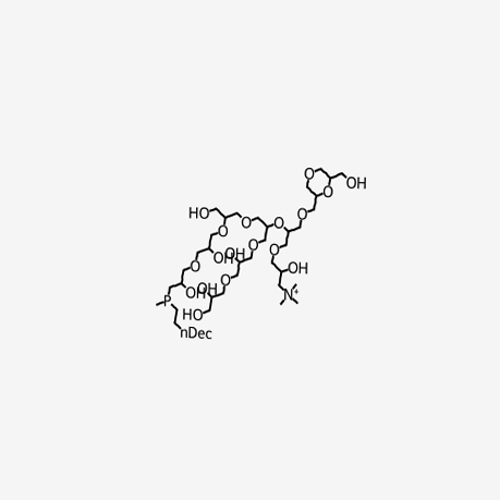 CCCCCCCCCCCCP(C)CC(O)COCC(O)COC(CO)COCC(COCC(O)COCC(O)CO)OC(COCC(O)C[N+](C)(C)C)COCC1COCC(CO)O1